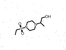 CCS(=O)(=O)N1CCN(C(C)CO)CC1